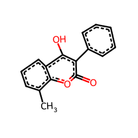 Cc1cccc2c(O)c(-c3ccccc3)c(=O)oc12